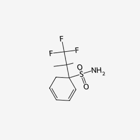 CC(C)(C(F)(F)F)C1(S(N)(=O)=O)C=CC=CC1